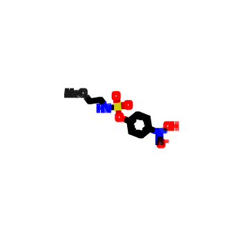 COCCNS(=O)(=O)Oc1ccc([NH+]([O-])O)cc1